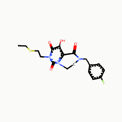 CCSCCn1c(=O)c(O)c2n(c1=O)CCN(Cc1ccc(F)cc1)C2=O